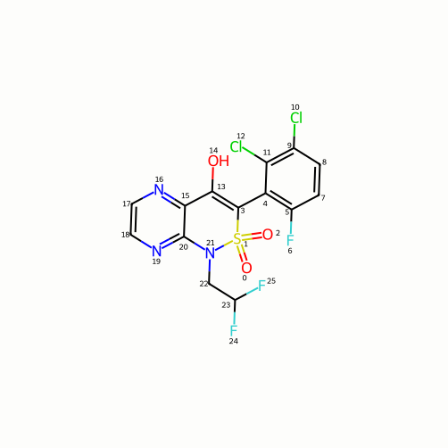 O=S1(=O)C(c2c(F)ccc(Cl)c2Cl)=C(O)c2nccnc2N1CC(F)F